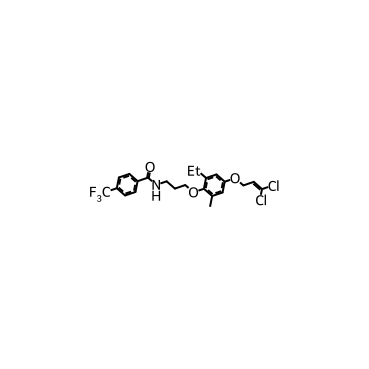 CCc1cc(OCC=C(Cl)Cl)cc(C)c1OCCCNC(=O)c1ccc(C(F)(F)F)cc1